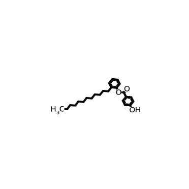 CCCCCCCCCCCCc1ccccc1OC(=O)c1ccc(O)cc1